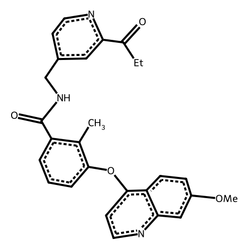 CCC(=O)c1cc(CNC(=O)c2cccc(Oc3ccnc4cc(OC)ccc34)c2C)ccn1